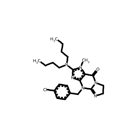 CCCCN(CCCC)c1nc2c(n1C)C(=O)N1CCN=C1N2Cc1ccc(Cl)cc1